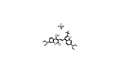 CCN(CC)c1ccc2c(O)c(/C=C/c3cc(C(C)(C)C)[o+]c4cc(N(CC)CC)ccc34)c(=O)oc2c1.F[B-](F)(F)F